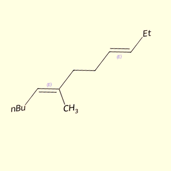 CC/C=C/CC/C(C)=C/CCCC